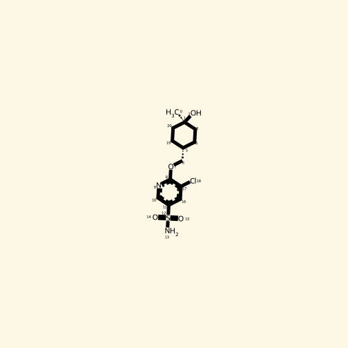 C[C@]1(O)CC[C@H](COc2ncc(S(N)(=O)=O)cc2Cl)CC1